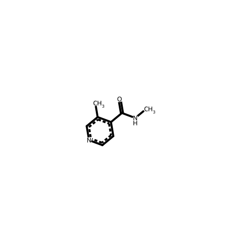 CNC(=O)c1ccncc1C